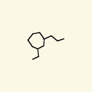 CCC[C]1CCCCC(CC)C1